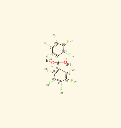 CCOC(OCC)(c1c(F)c(F)c(F)c(F)c1F)c1c(F)c(F)c(F)c(F)c1F